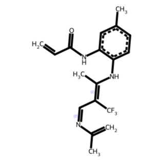 C=CC(=O)Nc1cc(C)ccc1N/C(C)=C(/C=N\C(=C)C)C(F)(F)F